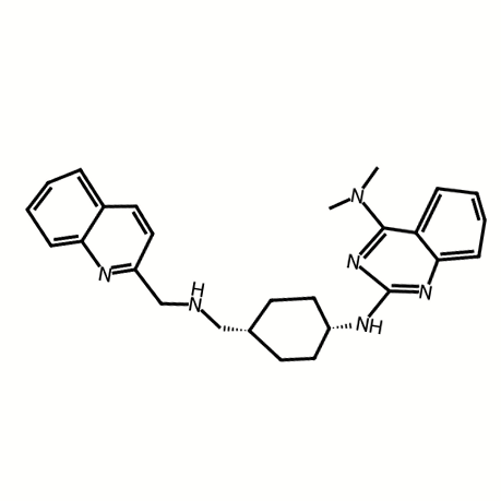 CN(C)c1nc(N[C@H]2CC[C@@H](CNCc3ccc4ccccc4n3)CC2)nc2ccccc12